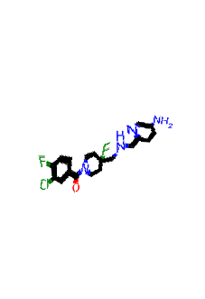 Nc1ccc(CNCC2(F)CCN(C(=O)c3ccc(F)c(Cl)c3)CC2)nc1